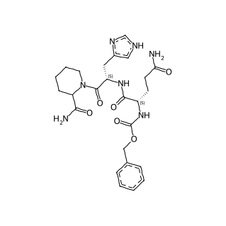 NC(=O)CC[C@H](NC(=O)OCc1ccccc1)C(=O)N[C@@H](Cc1c[nH]cn1)C(=O)N1CCCCC1C(N)=O